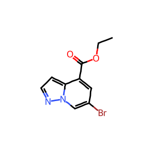 CCOC(=O)c1cc(Br)cn2nccc12